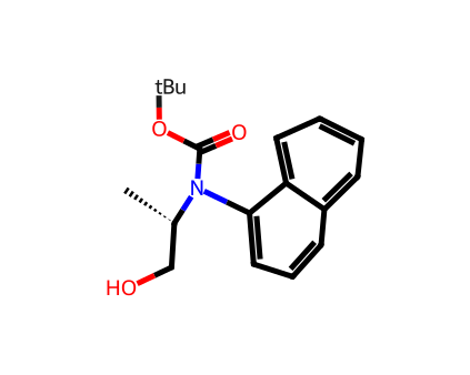 C[C@@H](CO)N(C(=O)OC(C)(C)C)c1cccc2ccccc12